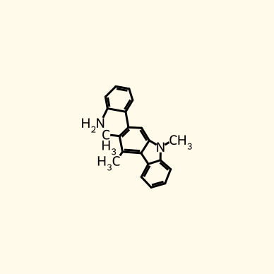 Cc1c(-c2ccccc2N)cc2c(c1C)c1ccccc1n2C